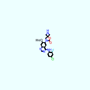 COc1cc2ncnc(Nc3ccc(Cl)cc3F)c2cc1N1CC2(CNC2)OC1=O